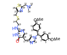 COc1ccc(C(c2ccc(OC)cc2)n2cnc(Cc3cnc(NCCSCc4csc(CN(C)C)n4)[nH]c3=O)c2)cc1